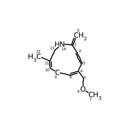 C=C1/C=C\C(COC)=C/C/C=C(/C)CN1